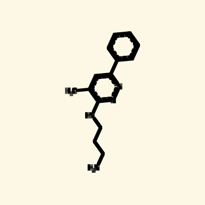 Cc1cc(-c2ccccc2)nnc1NCCCN